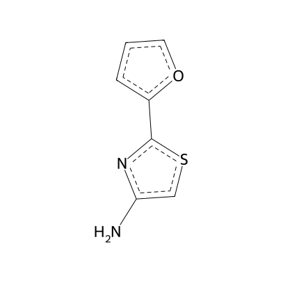 Nc1csc(-c2ccco2)n1